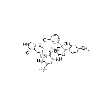 Cc1ccc(C(OC(=O)N[C@@H](CC(C)C)C(=O)NC(C=O)CC2CCNC2=O)C(C)(C)c2cccc(Cl)c2)cc1